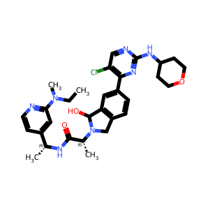 CCN(C)c1cc([C@@H](C)NC(=O)[C@@H](C)N2Cc3ccc(-c4nc(NC5CCOCC5)ncc4Cl)cc3C2O)ccn1